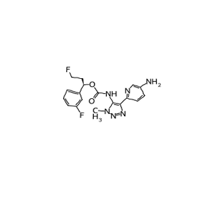 Cn1nnc(-c2ccc(N)cn2)c1NC(=O)O[C@H](CCF)c1cccc(F)c1